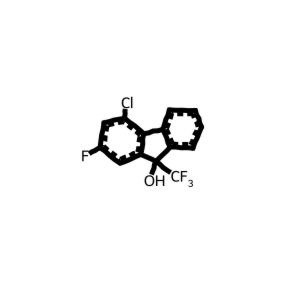 OC1(C(F)(F)F)c2ccccc2-c2c(Cl)cc(F)cc21